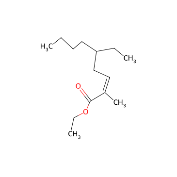 CCCCC(CC)CC=C(C)C(=O)OCC